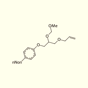 C=CCOCC(COc1ccc(CCCCCCCCC)cc1)OCOC